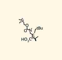 C=C(C)N(C(=O)O)[C@@H](CCC(C)(C)C)CN(C)C(=O)OCC[Si](C)(C)C